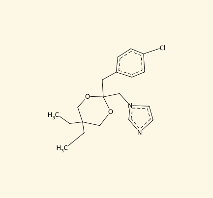 CCC1(CC)COC(Cc2ccc(Cl)cc2)(Cn2ccnc2)OC1